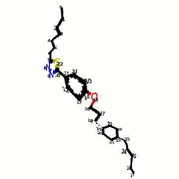 CCCCCCCc1nnc(-c2ccc(OCCC[C@H]3CC[C@H](CCCCC)CC3)cc2)s1